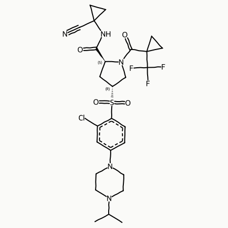 CC(C)N1CCN(c2ccc(S(=O)(=O)[C@@H]3C[C@@H](C(=O)NC4(C#N)CC4)N(C(=O)C4(C(F)(F)F)CC4)C3)c(Cl)c2)CC1